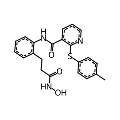 Cc1ccc(Sc2ncccc2C(=O)Nc2ccccc2CCC(=O)NO)cc1